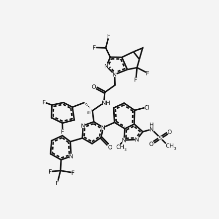 Cn1nc(NS(C)(=O)=O)c2c(Cl)ccc(-n3c([C@H](Cc4cc(F)cc(F)c4)NC(=O)Cn4nc(C(F)F)c5c4C(F)(F)C4CC54)nc(-c4cccc(C(F)(F)F)n4)cc3=O)c21